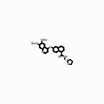 COc1cc2nccc(Oc3ccc4c(C(=O)NC[C@@H]5CCCO5)cccc4c3)c2cc1OC